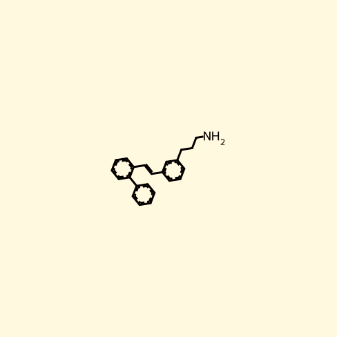 NCCCc1cccc(C=Cc2ccccc2-c2ccccc2)c1